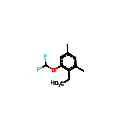 Cc1cc(C)c(CC(=O)O)c(OC(F)F)c1